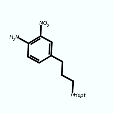 CCCCCCCCCCc1ccc(N)c([N+](=O)[O-])c1